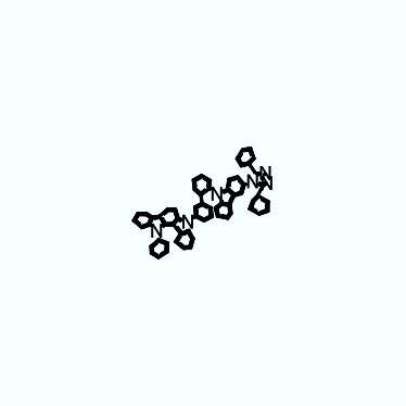 c1ccc(-c2nnc(-c3ccccc3)n2-c2ccc3c(c2)c2ccccc2n3-c2ccccc2-c2cccc(-n3c4ccccc4c4c3ccc3c5ccccc5n(-c5ccccc5)c34)c2)cc1